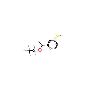 CSc1cccc(C(C)O[Si](C)(C)C(C)(C)C)c1